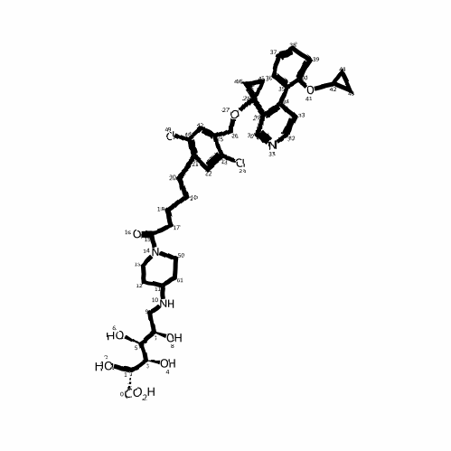 O=C(O)[C@H](O)[C@H](O)[C@@H](O)[C@H](O)CNC1CCN(C(=O)CCCCc2cc(Cl)c(COC3(c4cnccc4-c4ccccc4OC4CC4)CC3)cc2Cl)CC1